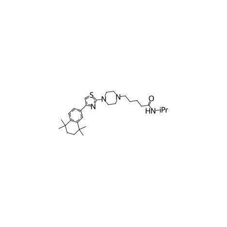 CC(C)NC(=O)CCCCN1CCN(c2nc(-c3ccc4c(c3)C(C)(C)CCC4(C)C)cs2)CC1